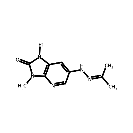 CCn1c(=O)n(C)c2ncc(NN=C(C)C)cc21